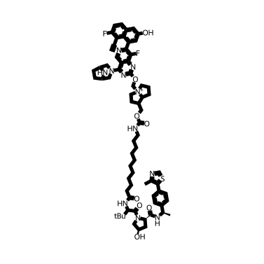 C#Cc1c(F)ccc2cc(O)cc(-c3ncc4c(N5CC6CCC(C5)N6)nc(OC[N+]56CCCC5C(COC(=O)NCCCCCCCCCCC(=O)NC(C(=O)N5C[C@H](O)C[C@H]5C(=O)N[C@H](C)c5ccc(-c7scnc7C)cc5)C(C)(C)C)CC6)nc4c3F)c12